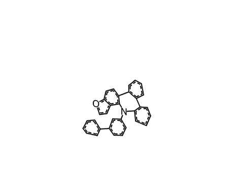 c1ccc(-c2cccc(N3c4ccccc4-c4ccccc4-c4ccc5occc5c43)c2)cc1